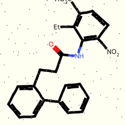 CCc1c(C(=O)O)ccc([N+](=O)[O-])c1NC(=O)CCc1ccccc1-c1ccccc1